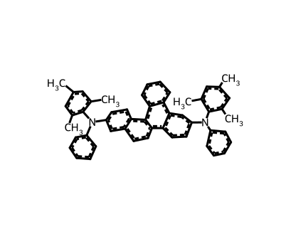 Cc1cc(C)c(N(c2ccccc2)c2ccc3c(ccc4c5ccc(N(c6ccccc6)c6c(C)cc(C)cc6C)cc5c5ccccc5c34)c2)c(C)c1